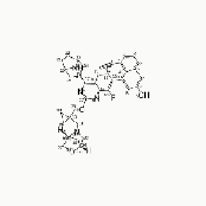 C#Cc1cccc2cc(O)cc(-c3c(Cl)cc4c(N5CC6CCC(C5)N6)nc(OCC5(CN6C[C@H]7C[C@@H]6CO7)CC5)nc4c3F)c12